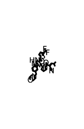 CC(C)C=C(C#N)C(=O)N1CCCC1Cn1c(NC(=O)c2ccc(C(F)F)s2)nc2ccc(CN3CCOCC3)cc21